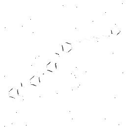 C=CC(=O)OCCCCCCOc1ccc(C(=O)Oc2ccc(C(c3ccc(OC(=O)c4ccc(C)cc4F)cc3)(C(F)(F)F)C(F)(F)F)cc2)c(F)c1